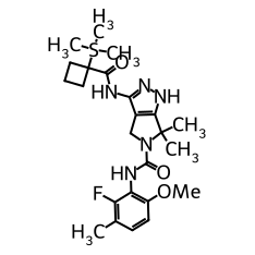 COc1ccc(C)c(F)c1NC(=O)N1Cc2c(NC(=O)C3(S(C)(C)C)CCC3)n[nH]c2C1(C)C